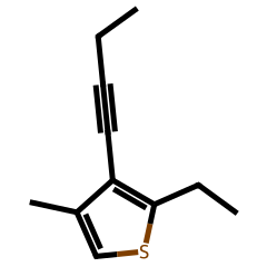 CCC#Cc1c(C)csc1CC